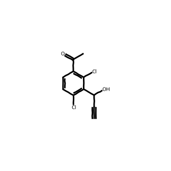 C#CC(O)c1c(Cl)ccc(C(C)=O)c1Cl